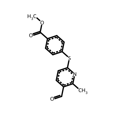 COC(=O)c1ccc(Sc2ccc(C=O)c(C)n2)cc1